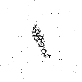 CCCC1CCC(C2CC=C(c3ccc4c(c3F)C(F)(F)c3c-4ccc(OCC)c3F)OC2)CC1